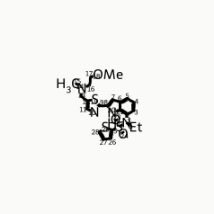 CCN(c1cccc2cc(-c3ncc(CN(C)CCOC)s3)[nH]c12)S(=O)(=O)c1cccs1